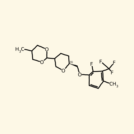 Cc1ccc(OC[C@@H]2CCC(C3OCC(C)CO3)CO2)c(F)c1C(F)(F)F